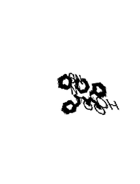 O=C(O)[C@H](Cc1ccccc1)C(=O)C[C@@H](Cc1ccccc1)CN(c1ccccc1)[C@@H]1CCCCNC1=O